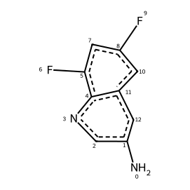 Nc1cnc2c(F)cc(F)cc2c1